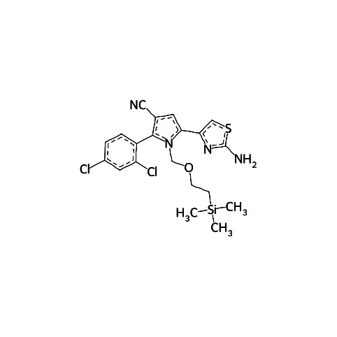 C[Si](C)(C)CCOCn1c(-c2csc(N)n2)cc(C#N)c1-c1ccc(Cl)cc1Cl